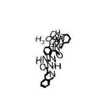 CC(C)(C)OC(=O)N1CCCCC1CNC(=O)c1cccc2[nH]c(NC(=O)c3cc4ccccc4cn3)nc12